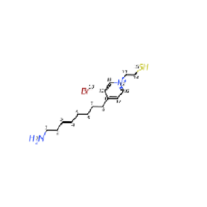 NCCCCCCCCc1cc[n+](CCS)cc1.[Br-]